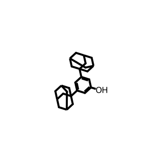 Oc1cc(C23CC4CC(CC(C4)C2)C3)cc(C23CC4CC(CC(C4)C2)C3)c1